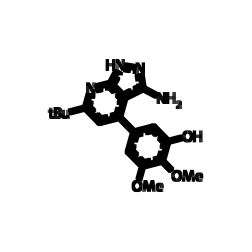 COc1cc(-c2cc(C(C)(C)C)nc3[nH]nc(N)c23)cc(O)c1OC